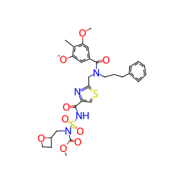 COC(=O)N(CC1CCO1)S(=O)(=O)NC(=O)c1csc(CN(CCCc2ccccc2)C(=O)c2cc(OC)c(C)c(OC)c2)n1